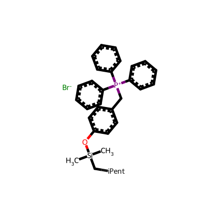 CCCC(C)C[Si](C)(C)Oc1ccc(C[P+](c2ccccc2)(c2ccccc2)c2ccccc2)cc1.[Br-]